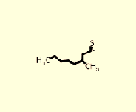 CCCCCC(C)C[C]=S